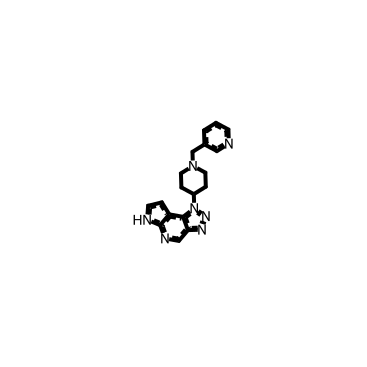 c1cncc(CN2CCC(n3nnc4cnc5[nH]ccc5c43)CC2)c1